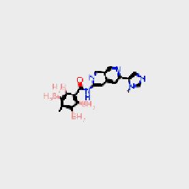 Bc1c(B)c(C(=O)Nc2cc3cc(-c4cncn4C)ncc3cn2)c(B)c(B)c1C